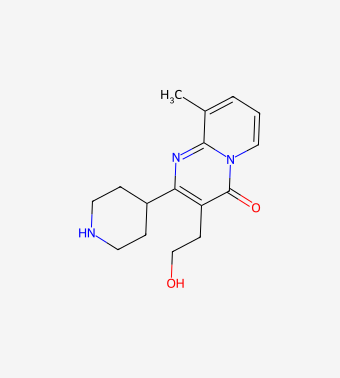 Cc1cccn2c(=O)c(CCO)c(C3CCNCC3)nc12